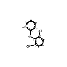 Clc1cccc(Cl)c1[N]c1ccccn1